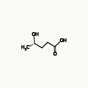 C[C@H](O)CCC(=O)O